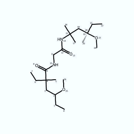 CCC(CC(C)(CC)C(=O)NCC(=O)NC(C)(C)C[C@@](C)(CC)OC)OC